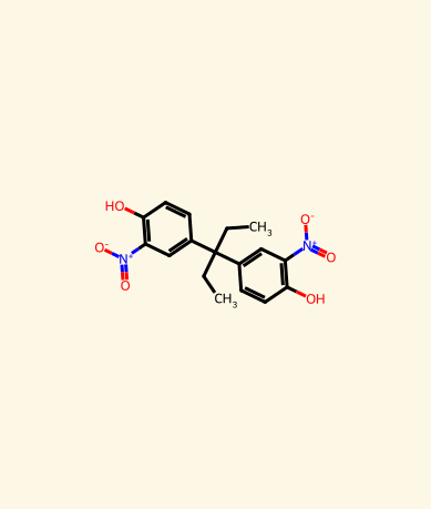 CCC(CC)(c1ccc(O)c([N+](=O)[O-])c1)c1ccc(O)c([N+](=O)[O-])c1